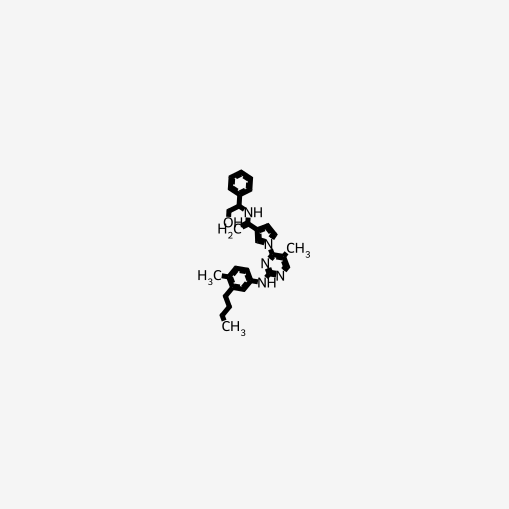 C=C(NC(CO)c1ccccc1)c1ccn(-c2nc(Nc3ccc(C)c(CCCC)c3)ncc2C)c1